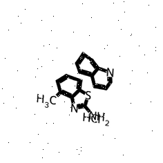 Cc1cccc2sc(N)nc12.Cl.c1ccc2ncccc2c1